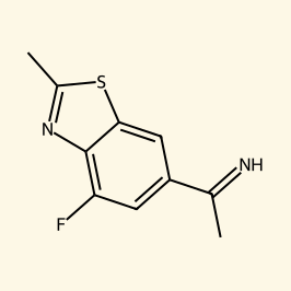 CC(=N)c1cc(F)c2nc(C)sc2c1